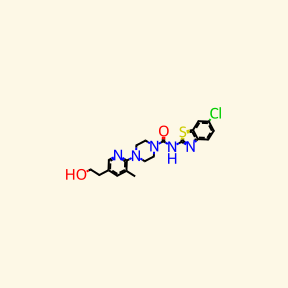 Cc1cc(CCO)cnc1N1CCN(C(=O)Nc2nc3ccc(Cl)cc3s2)CC1